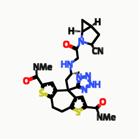 CNC(=O)c1cc2c(s1)CCc1sc(C(=O)NC)cc1C2(C[C@@H](C)NCC(=O)N1C(C#N)C[C@@H]2C[C@@H]21)c1nn[nH]n1